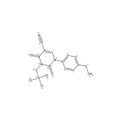 CSc1ccc(-n2cc(C#N)c(=O)n(SC(Cl)(Cl)Cl)c2=O)cc1